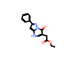 CCOC(=O)Cc1c[nH]c2cc(-c3ccccc3)nn2c1=O